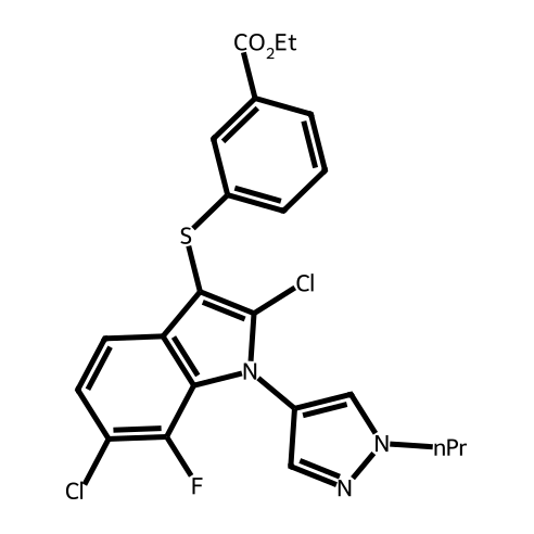 CCCn1cc(-n2c(Cl)c(Sc3cccc(C(=O)OCC)c3)c3ccc(Cl)c(F)c32)cn1